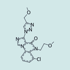 COCCn1c(=O)c2c(-n3cc(COC)nn3)ncn2c2cccc(Cl)c21